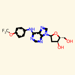 OC[C@H]1OC(n2cnc3c(Nc4ccc(OC(F)(F)F)cc4)ncnc32)C[C@@H]1O